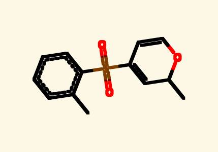 Cc1ccccc1S(=O)(=O)C1=CC(C)OC=C1